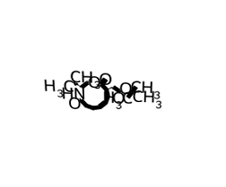 CC(C)[C@@H]1COC(=O)[C@H](CC(=O)OC(C)(C)C)CC=CCCC(=O)N1